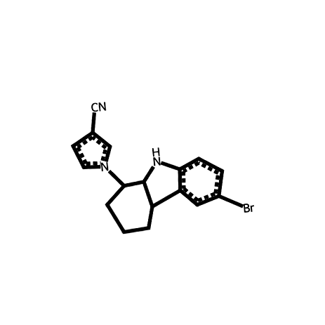 N#Cc1ccn(C2CCCC3c4cc(Br)ccc4NC32)c1